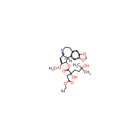 [2H]COC(=O)C[C@](O)(CCC(C)(C)O)C(=O)OC1C(OC)=CC23CCCN2CCc2cc4c(cc2[C@H]13)OCO4